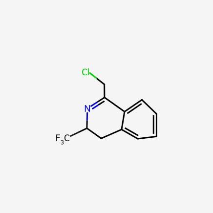 FC(F)(F)C1Cc2ccccc2C(CCl)=N1